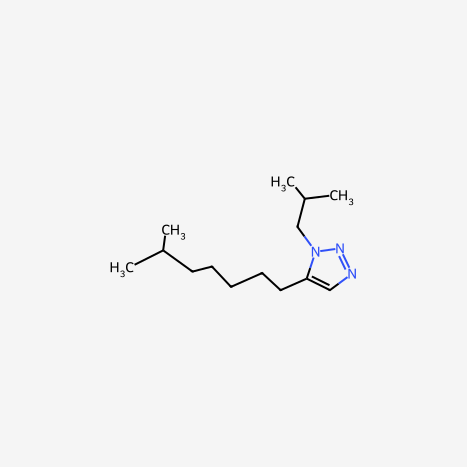 CC(C)CCCCCc1cnnn1CC(C)C